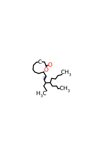 CCCCCC(CCCC)C(/C=C/C1CCCCCCCC(=O)O1)CCC